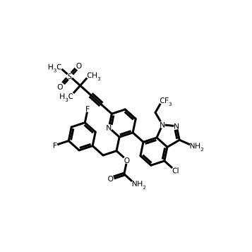 CC(C)(C#Cc1ccc(-c2ccc(Cl)c3c(N)nn(CC(F)(F)F)c23)c(C(Cc2cc(F)cc(F)c2)OC(N)=O)n1)S(C)(=O)=O